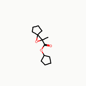 CC1(C(=O)OC2CCCC2)OC12CCCC2